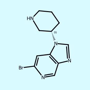 Brc1cc2c(cn1)ncn2[C@H]1CCCNC1